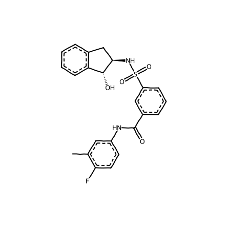 Cc1cc(NC(=O)c2cccc(S(=O)(=O)N[C@@H]3Cc4ccccc4[C@H]3O)c2)ccc1F